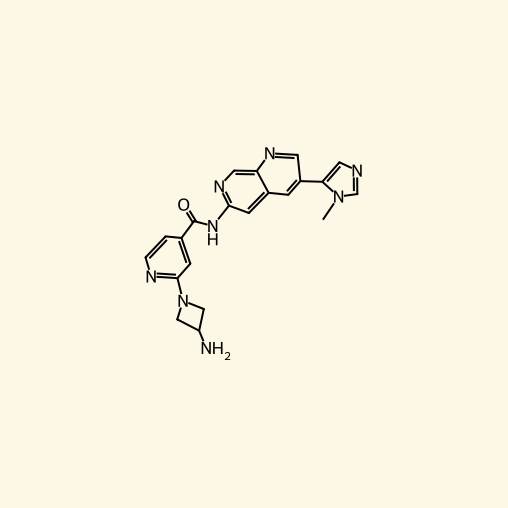 Cn1cncc1-c1cnc2cnc(NC(=O)c3ccnc(N4CC(N)C4)c3)cc2c1